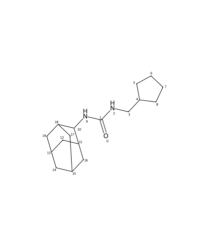 O=C(NCC1CCCC1)NC1C2CC3CC(C2)CC1C3